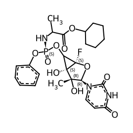 CC(N[P@@](=O)(Oc1ccccc1)OC1[C@]2(O)[C@@](C)(O)[C@H](n3ccc(=O)[nH]c3=O)O[C@]12F)C(=O)OC1CCCCC1